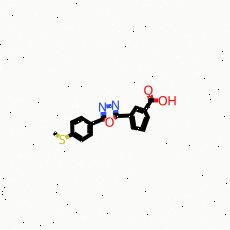 CSc1ccc(-c2nnc(-c3cccc(C(=O)O)c3)o2)cc1